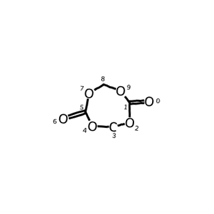 O=C1OCOC(=O)OCO1